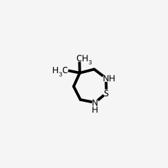 CC1(C)CCNSNC1